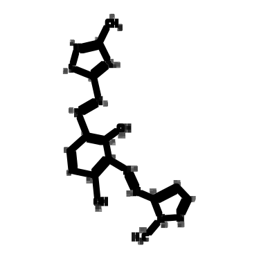 Cc1nsc(/N=N/c2ccc(O)c(/N=N/c3ccnn3C)c2O)n1